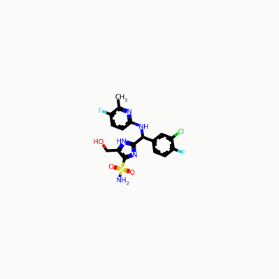 Cc1nc(NC(c2ccc(F)c(Cl)c2)c2nc(S(N)(=O)=O)c(CO)[nH]2)ccc1F